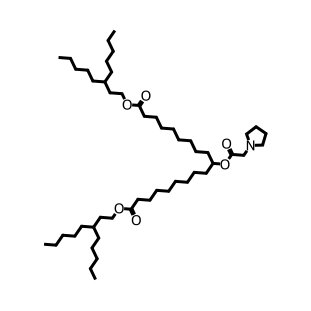 CCCCCC(CCCCC)CCOC(=O)CCCCCCCCC(CCCCCCCCC(=O)OCCC(CCCCC)CCCCC)OC(=O)CN1CCCC1